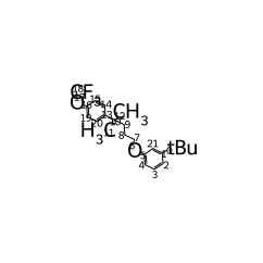 CC(C)(C)c1cccc(OCCCC(C)(C)c2ccc(OC(F)(F)F)cc2)c1